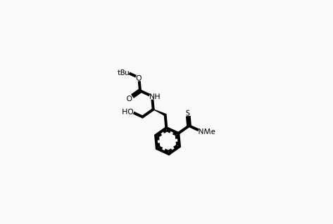 CNC(=S)c1ccccc1C[C@@H](CO)NC(=O)OC(C)(C)C